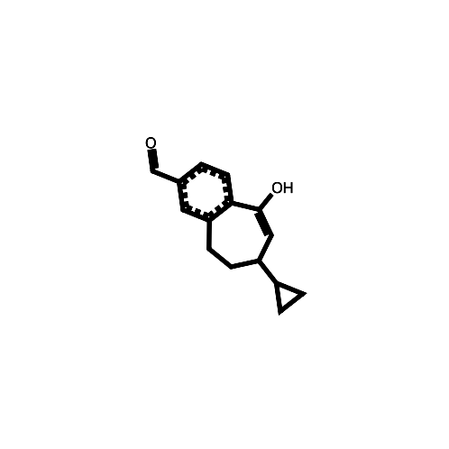 O=Cc1ccc2c(c1)CCC(C1CC1)C=C2O